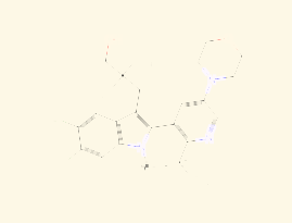 CCn1c(-c2cc(N3CCOCC3)cnc2[C@H](C)OC)c(CC(C)(C)CO)c2cc(Br)c(F)cc21